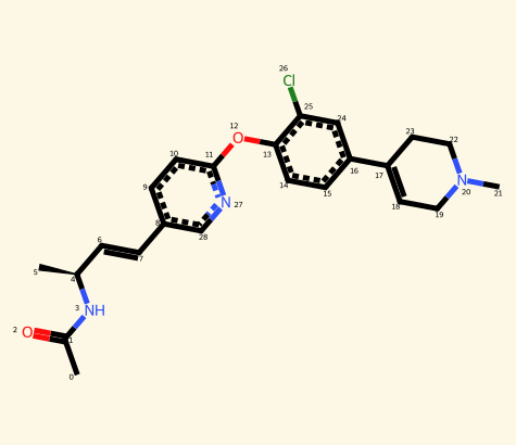 CC(=O)N[C@@H](C)/C=C/c1ccc(Oc2ccc(C3=CCN(C)CC3)cc2Cl)nc1